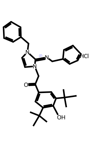 CC(C)(C)c1cc(C(=O)Cn2ccn(Cc3ccccc3)/c2=N/Cc2ccccc2)cc(C(C)(C)C)c1O.Cl